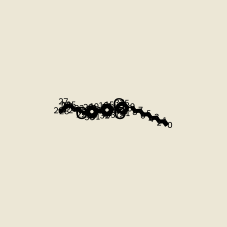 C=CCCCCCCCC[C@H]1CO[C@H](c2ccc(-c3ccc(OCCC[C@@H](C)CC)cc3)cc2)OC1